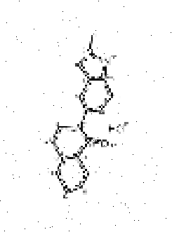 Cl.Cn1cc2cc(-n3cnc4ccccc4c3=O)ccc2n1